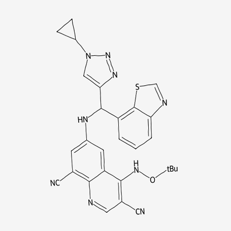 CC(C)(C)ONc1c(C#N)cnc2c(C#N)cc(NC(c3cn(C4CC4)nn3)c3cccc4ncsc34)cc12